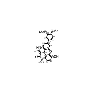 CCCCOC(=O)C1=C(C)NC2=C(C(=O)CC(c3ccc(OC)c(OC)c3)C2)C1c1cccc(O)c1